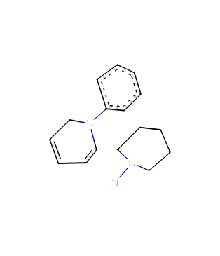 C1=CCN(c2ccccc2)C=C1.NN1CCCCC1